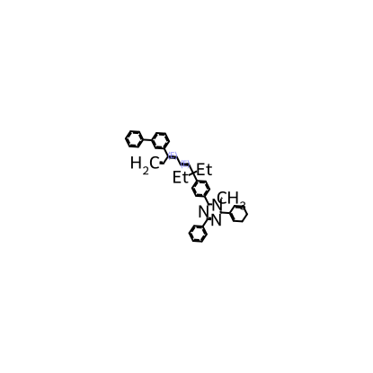 C=C/C(=C\C=C\C(CC)(CC)c1ccc(C2=NC(c3ccccc3)=NC(C3=CCCC=C3)N2C)cc1)c1cccc(-c2ccccc2)c1